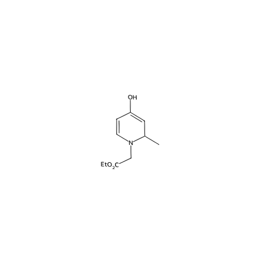 CCOC(=O)CN1C=CC(O)=CC1C